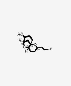 N#CCC[C@H]1CC[C@@H]2O[C@@H]3C[C@]2(CCC3O)O1